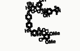 COc1cc(OC)c(Cl)c(NC(=O)N(C)c2cc(Nc3ccc(N4CCN(CC(=O)N[C@H](C(=O)N5C[C@@H](O)C[C@H]5C(=O)N[C@](C)(O)c5ccc(-c6scnc6C)cc5)C(C)(C)C)CC4)cc3)ncn2)c1Cl